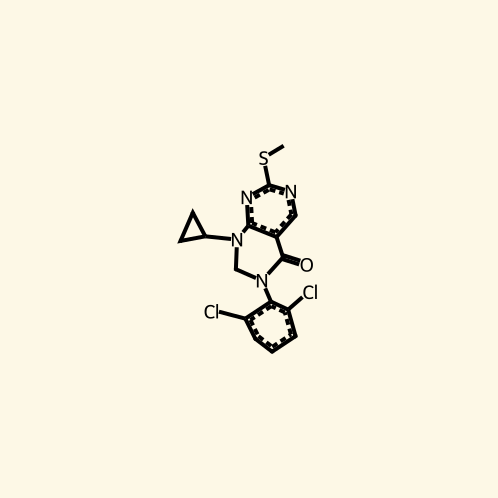 CSc1ncc2c(n1)N(C1CC1)CN(c1c(Cl)cccc1Cl)C2=O